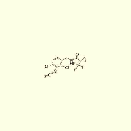 O=C(NCc1ccc(Cl)c(N=C=S)c1Cl)C1(C(F)(F)F)CC1